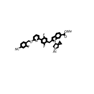 COC(=O)c1ccc2cc(Cc3cc(F)c(-c4cccc(OCc5ccc(C#N)cc5F)n4)cc3F)n([C@H]3CN(C(C)=O)CC34CC4)c2c1